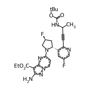 CCOC(=O)c1c(N)nn2ccc(N3C[C@@H](F)C[C@@H]3c3cc(F)cnc3C#CC(C)NC(=O)OC(C)(C)C)nc12